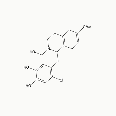 COC1=CCC2=C(CCN(CO)C2Cc2cc(O)c(O)cc2Cl)C1